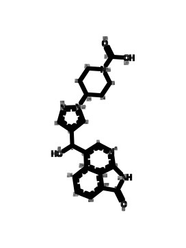 O=C1Nc2ncc(C(O)c3cnn(C4CCN(C(=O)O)CC4)c3)c3cccc1c23